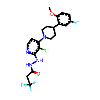 COc1ccc(F)cc1C1CCN(c2ccnc(NNC(=O)CC(F)(F)F)c2Cl)CC1